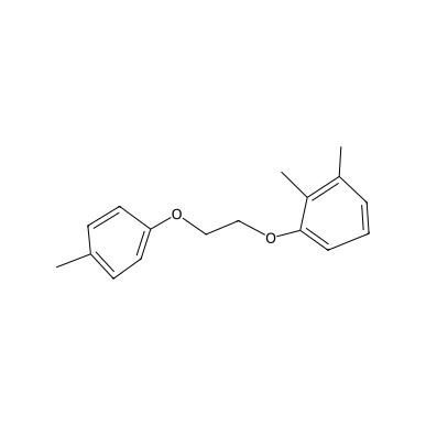 Cc1ccc(OCCOc2cccc(C)c2C)cc1